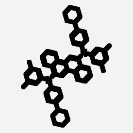 Cc1cc(C)cc(N(c2ccc(C3CCCCC3)cc2)c2cc3c4ccccc4c(N(c4ccc(C5CCCCC5)cc4)c4cc(C)cc(C)c4)cc3c3ccccc23)c1